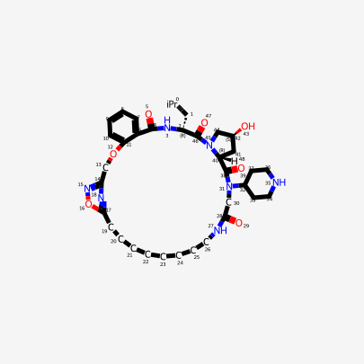 CC(C)C[C@H]1NC(=O)c2ccccc2OCc2noc(n2)CCCCCCCCNC(=O)CN(C2CCNCC2)C(=O)[C@H]2C[C@H](O)CN2C1=O